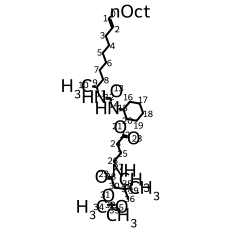 CCCCCCCCC=CCCCCCCC(C)NC(=O)NC1CCCCC1OC(=O)CCCNC(=O)C1OC(C)(C)OCC1(C)C